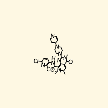 Cc1cc(C(C)Nc2ccc(Cl)nc2C(=O)O)c2nc(N3CCN(c4ccncc4)CC3)n(C)c(=O)c2c1